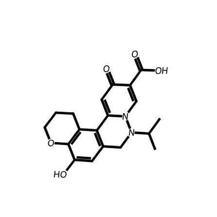 CC(C)N1Cc2cc(O)c3c(c2-c2cc(=O)c(C(=O)O)cn21)CCCO3